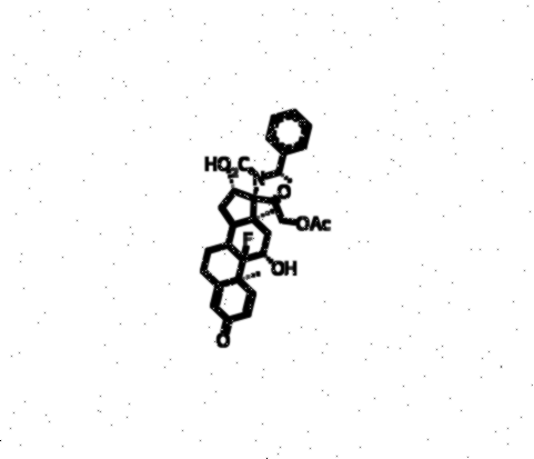 CC(=O)OCC(=O)[C@]1(N(C(=O)O)[C@@H](C)c2ccccc2)[C@@H](C)CC2C3CCC4=CC(=O)C=C[C@]4(C)C3(F)[C@@H](O)C[C@@]21C